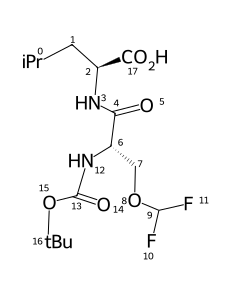 CC(C)C[C@H](NC(=O)[C@H](COC(F)F)NC(=O)OC(C)(C)C)C(=O)O